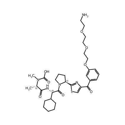 C[C@@H](C(=O)N[C@H](C(=O)N1CCC[C@H]1c1nc(C(=O)c2cccc(OCCOCCOCCN)c2)cs1)C1CCCCC1)N(C)C(=O)O